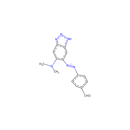 CN(C)c1cc2nn[nH]c2cc1/N=N/c1ccc(C=O)cc1